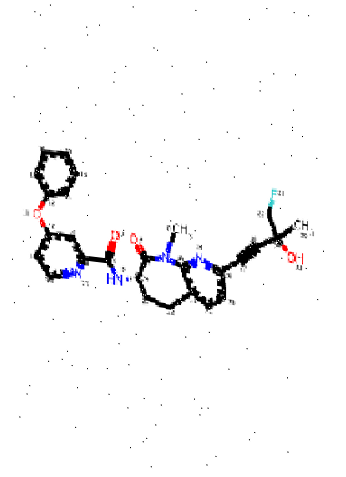 CN1C(=O)[C@@H](NC(=O)c2cc(Oc3ccccc3)ccn2)CCc2ccc(C#CC(C)(O)CF)nc21